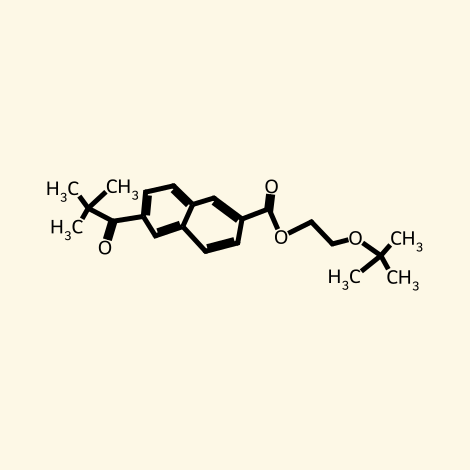 CC(C)(C)OCCOC(=O)c1ccc2cc(C(=O)C(C)(C)C)ccc2c1